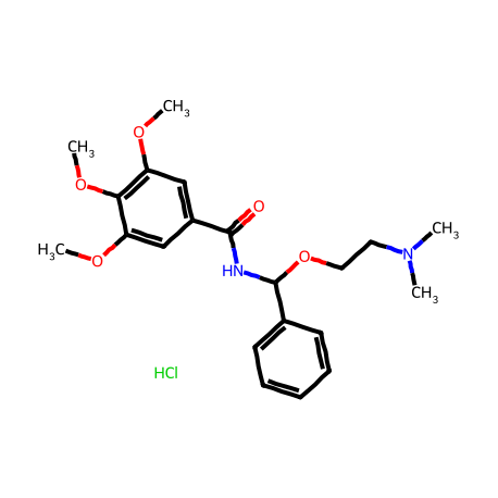 COc1cc(C(=O)NC(OCCN(C)C)c2ccccc2)cc(OC)c1OC.Cl